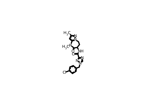 Cc1cc2n(n1)CCC(NC(=O)c1ncn(Cc3ccc(Cl)cc3)n1)C(=O)N2C